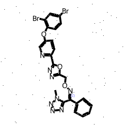 Cn1nnnc1/C(=N\OCc1nnc(-c2ccc(Oc3ccc(Br)cc3Br)cn2)o1)c1ccccc1